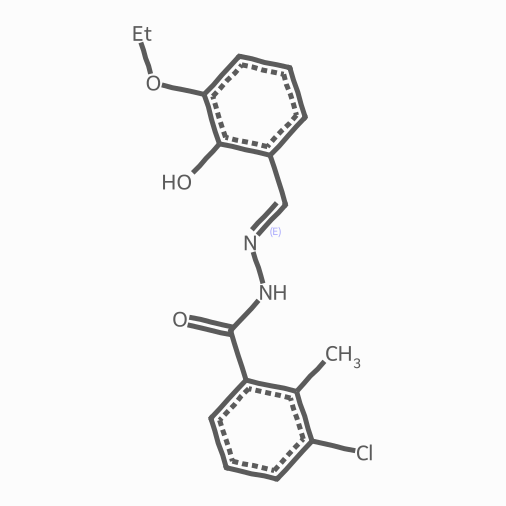 CCOc1cccc(/C=N/NC(=O)c2cccc(Cl)c2C)c1O